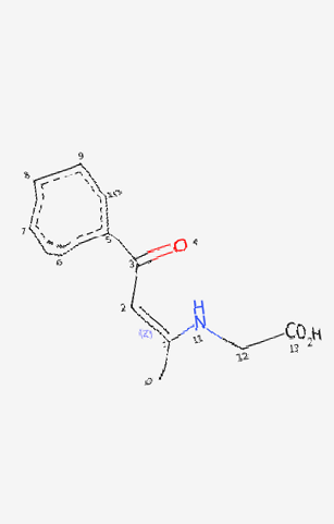 C/C(=C/C(=O)c1ccccc1)NCC(=O)O